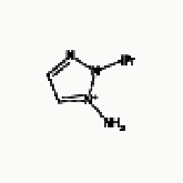 CC(C)n1ncc[n+]1N